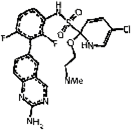 CNCCOC1(S(=O)(=O)Nc2ccc(F)c(-c3ccc4nc(N)ncc4c3)c2F)C=CC(Cl)=CN1